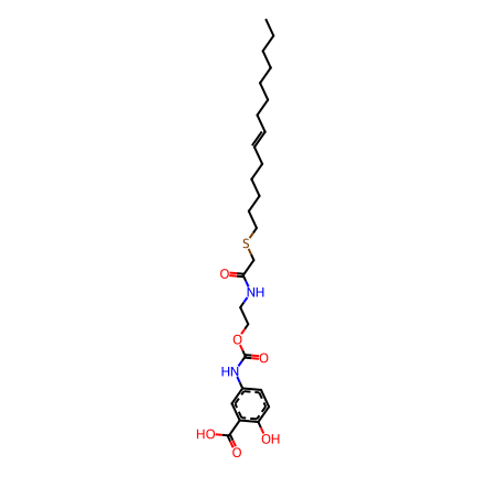 CCCCCCCC=CCCCCCSCC(=O)NCCOC(=O)Nc1ccc(O)c(C(=O)O)c1